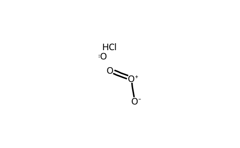 Cl.O=[O+][O-].[O]